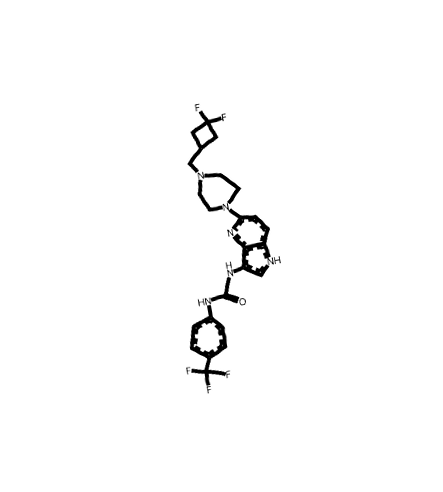 O=C(Nc1ccc(C(F)(F)F)cc1)Nc1c[nH]c2ccc(N3CCN(CC4CC(F)(F)C4)CC3)nc12